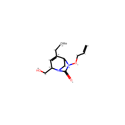 C=CCON1C(=O)N2CC1C(COC)=CC2CO